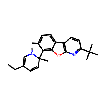 CCC1=CN(C)C(C)(c2c(C)ccc3c2oc2nc(C(C)(C)C)ccc23)C=C1